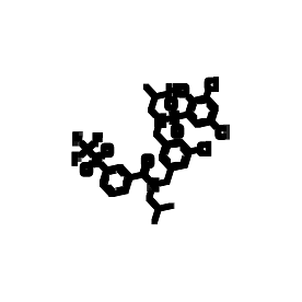 CC(C)CN(Cc1cc(Cl)cc(CN(CC(C)C)S(=O)(=O)c2cc(Cl)cc(Cl)c2O)c1)C(=O)c1cccc(S(=O)(=O)C(F)(F)F)c1